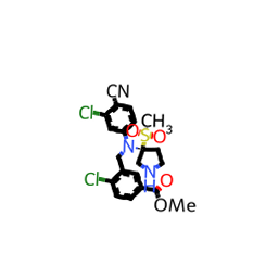 COC(=O)c1ccc(Cl)c(CN(c2ccc(C#N)c(Cl)c2)[C@]2(S(C)(=O)=O)CCNC2)c1